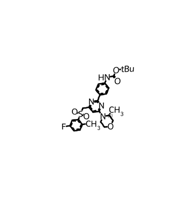 Cc1ccc(F)cc1S(=O)(=O)Cc1cc(N2CCOC[C@@H]2C)nc(-c2ccc(NC(=O)OC(C)(C)C)cc2)n1